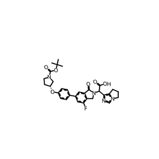 CC(C)(C)OC(=O)N1CC[C@@H](Oc2ccc(-c3cc(F)c4c(c3)C(=O)N(C(C(=O)O)c3ncn5c3CCC5)C4)cc2)C1